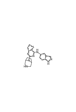 c1cc2nc(N3C4CCC3CNC4)nc(Nc3ccc4[nH]ncc4c3)c2s1